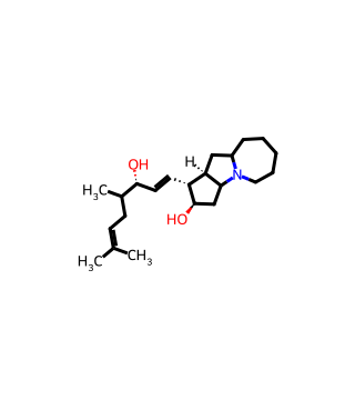 CC(C)=CCC(C)[C@H](O)/C=C/[C@H]1[C@H](O)CC2[C@@H]1CC1CCCCCN12